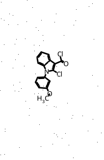 COc1cccc(-n2c(Cl)c(C(=O)Cl)c3ccccc32)c1